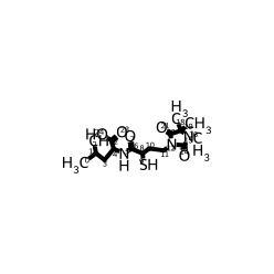 CC(C)CC(NC(=O)C(S)CCN1C(=O)N(C)C(C)(C)C1=O)C(=O)O